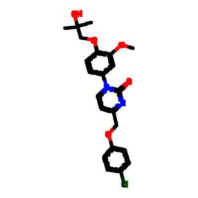 COc1cc(-n2ccc(COc3ccc(Cl)cc3)nc2=O)ccc1OCC(C)(C)O